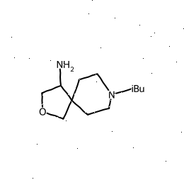 CCC(C)N1CCC2(CC1)COCC2N